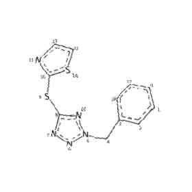 c1ccc(Cn2nnc(Sc3nccs3)n2)cc1